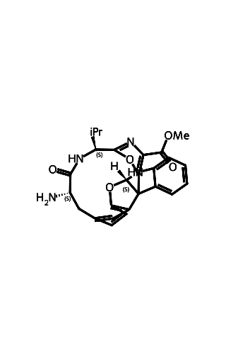 COC(=O)c1nc2oc1C13c4ccccc4N[C@H]1Oc1ccc(cc13)C[C@H](N)C(=O)N[C@H]2C(C)C